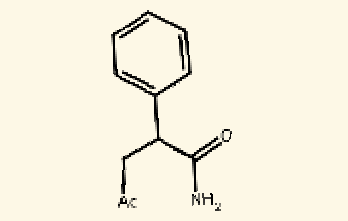 CC(=O)CC(C(N)=O)c1ccccc1